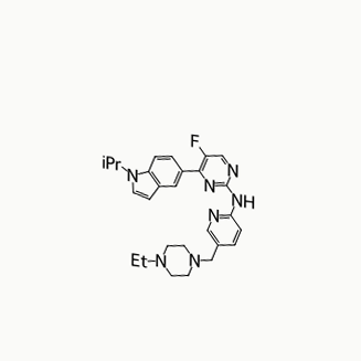 CCN1CCN(Cc2ccc(Nc3ncc(F)c(-c4ccc5c(ccn5C(C)C)c4)n3)nc2)CC1